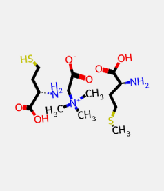 CSCC[C@H](N)C(=O)O.C[N+](C)(C)CC(=O)[O-].N[C@@H](CCS)C(=O)O